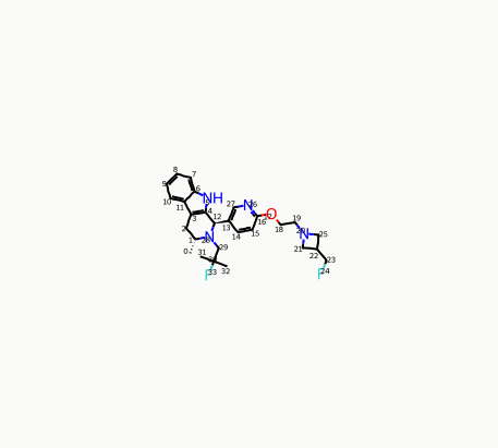 C[C@@H]1Cc2c([nH]c3ccccc23)[C@@H](c2ccc(OCCN3CC(CF)C3)nc2)N1CC(C)(C)F